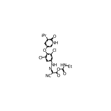 CCNC(=O)OC(=O)/C(C#N)=N\Nc1cc(Cl)c(Oc2c[nH]c(=O)c(C(C)C)c2)c(Cl)c1